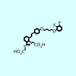 O=C(O)CSc1cn(CC(=O)O)c2c(C=Cc3ccc(OCCCCOc4cccc(F)c4F)cc3)cccc12